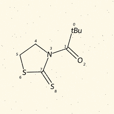 CC(C)(C)C(=O)N1CCSC1=S